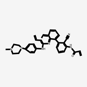 C=C/C=C(/N=C1/C(c2cccc(NC(=O)C=C)c2C#N)=CC=C/C1=C/C)Nc1ccc(N2CCN(C)CC2)cc1